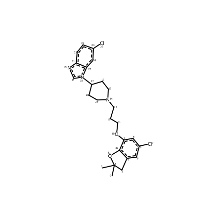 CC1(C)Cc2cc(Cl)cc(OCCCN3CCC(n4cnc5ccc(Cl)cc54)CC3)c2O1